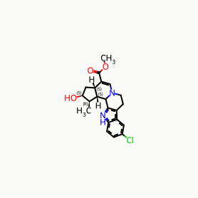 COC(=O)C1=CN2CCc3c([nH]c4ccc(Cl)cc34)C2[C@@H]2[C@@H](C)[C@@H](O)C[C@H]12